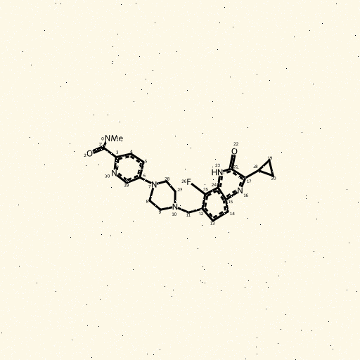 CNC(=O)c1ccc(N2CCN(Cc3ccc4nc(C5CC5)c(=O)[nH]c4c3F)CC2)cn1